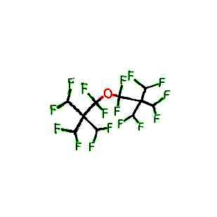 FC(F)C(C(F)F)(C(F)F)C(F)(F)OC(F)(F)C(C(F)F)(C(F)F)C(F)F